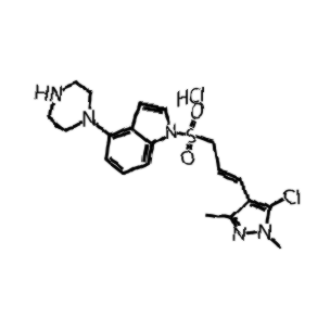 Cc1nn(C)c(Cl)c1C=CCS(=O)(=O)n1ccc2c(N3CCNCC3)cccc21.Cl